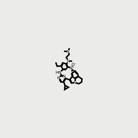 CCc1cc(N(C)CCN(C)C)c([N+](=O)[O-])cc1Nc1ncc(C2CC2)c(-c2cn3c4c(cccc24)CCC3)n1